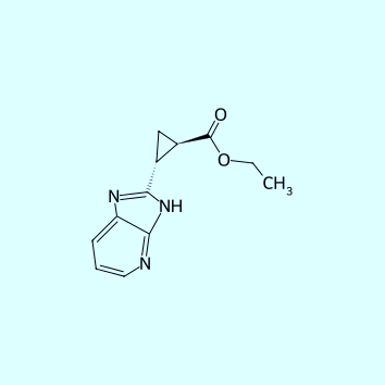 CCOC(=O)[C@@H]1C[C@H]1c1nc2cccnc2[nH]1